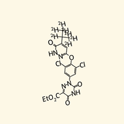 [2H]C([2H])([2H])C([2H])(c1cc(Oc2c(Cl)cc(-n3nc(C(=O)OCC)c(=O)[nH]c3=O)cc2Cl)n[nH]c1=O)C([2H])([2H])[2H]